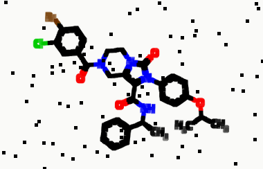 CC(C)Oc1ccc(-n2c(C(=O)N[C@@H](C)c3ccccc3)c3n(c2=O)CCN(C(=O)c2ccc(Br)c(Cl)c2)C3)cc1